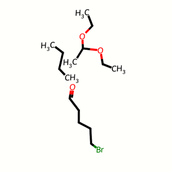 CCCC.CCOC(C)OCC.O=CCCCCBr